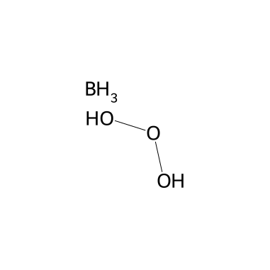 B.OOO